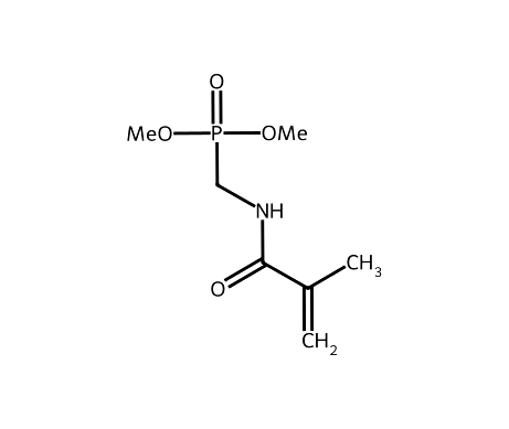 C=C(C)C(=O)NCP(=O)(OC)OC